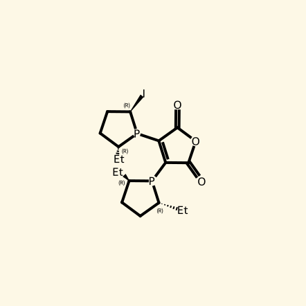 CC[C@@H]1CC[C@@H](CC)P1C1=C(P2[C@H](CC)CC[C@H]2I)C(=O)OC1=O